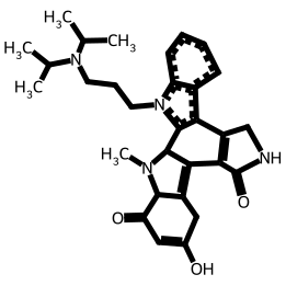 CC(C)N(CCCn1c2c(c3ccccc31)C1=C(C(=O)NC1)C1=C3CC(O)=CC(=O)C3N(C)C12)C(C)C